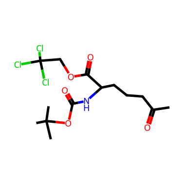 CC(=O)CCCC(NC(=O)OC(C)(C)C)C(=O)OCC(Cl)(Cl)Cl